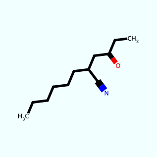 CCCCCCC(C#N)CC(=O)CC